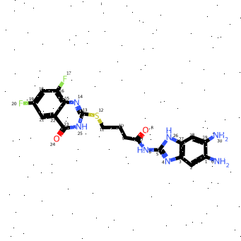 Nc1cc2nc(NC(=O)CCCSc3nc4c(F)cc(F)cc4c(=O)[nH]3)[nH]c2cc1N